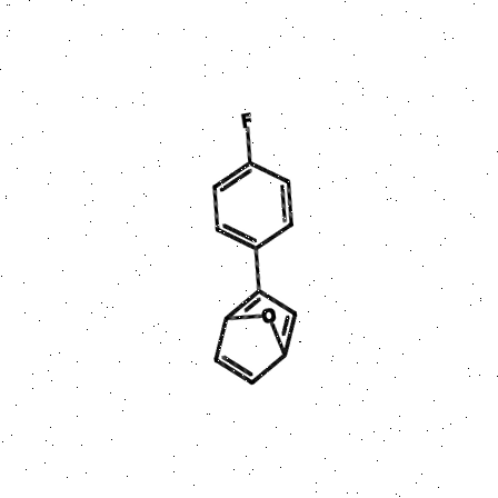 Fc1ccc(-c2cc3ccc2o3)cc1